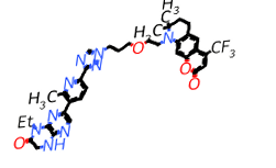 CCN1C(=O)CNc2ncc(-c3ccc(-c4ncn(CCCOCCN5c6cc7oc(=O)cc(C(F)(F)F)c7cc6CCC5(C)C)n4)nc3C)nc21